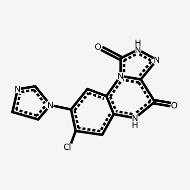 O=c1[nH]c2cc(Cl)c(-n3ccnc3)cc2n2c(=O)[nH]nc12